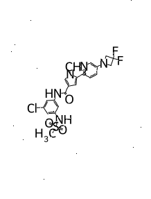 Cn1cc(C(=O)Nc2cc(Cl)cc(NS(C)(=O)=O)c2)cc1-c1ccc(N2CC(F)(F)C2)cn1